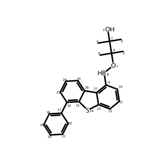 CC(C)(O)C(C)(C)OBc1cccc2sc3c(-c4ccccc4)cccc3c12